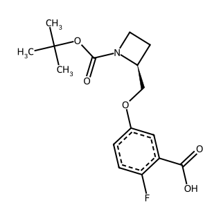 CC(C)(C)OC(=O)N1CC[C@H]1COc1ccc(F)c(C(=O)O)c1